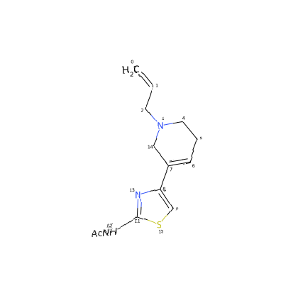 C=CCN1CCC=C(c2csc(NC(C)=O)n2)C1